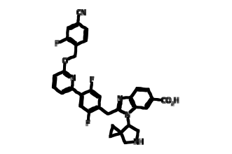 N#Cc1ccc(COc2cccc(-c3cc(F)c(Cc4nc5ccc(C(=O)O)cc5n4C4CNCC45CC5)cc3F)n2)c(F)c1